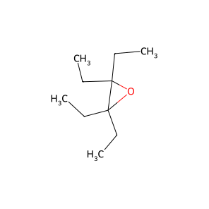 CCC1(CC)OC1(CC)CC